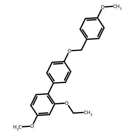 CCOc1cc(OC)ccc1-c1ccc(OCc2ccc(OC)cc2)cc1